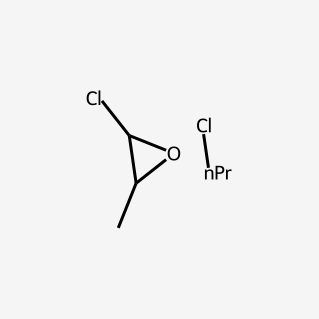 CC1OC1Cl.CCCCl